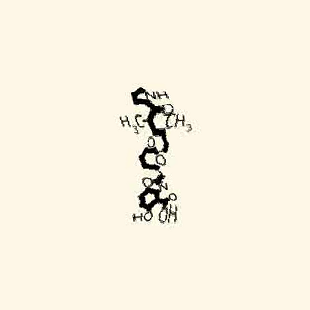 C[C@@H]1CC[C@]2(CCC[C@@H](Cc3nc4c(C(=O)O)c(O)ccc4o3)O2)O[C@@H]1[C@H](C)C(=O)c1ccc[nH]1